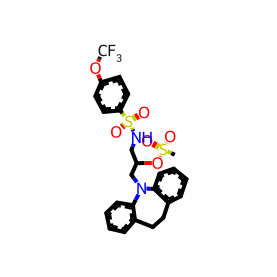 CS(=O)(=O)OC(CNS(=O)(=O)c1ccc(OC(F)(F)F)cc1)CN1c2ccccc2CCc2ccccc21